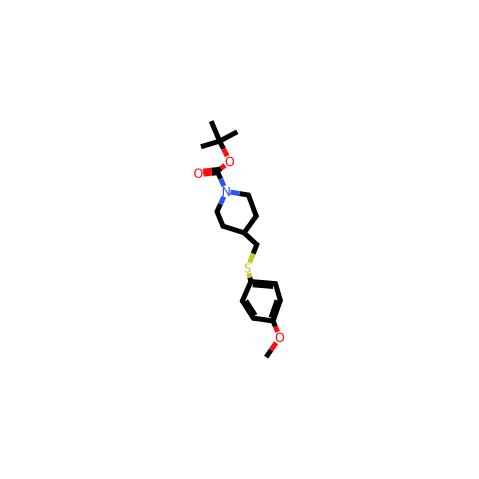 COc1ccc(SCC2CCN(C(=O)OC(C)(C)C)CC2)cc1